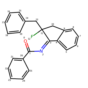 O=C(N=C1c2ccccc2CC1(F)Cc1ccccc1)c1ccccc1